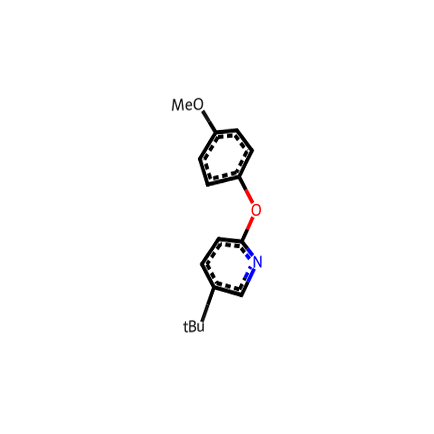 COc1ccc(Oc2ccc(C(C)(C)C)cn2)cc1